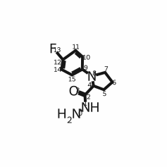 NNC(=O)C1CCCN1c1ccc(F)cc1